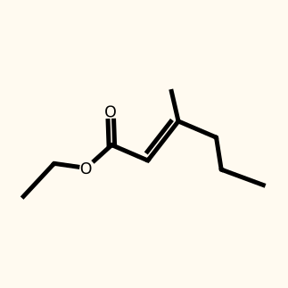 CCCC(C)=CC(=O)OCC